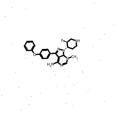 CN1C=NC(N)=C2C(c3ccc(Oc4ccccc4)cc3)=NN([C@H]3CCNC[C@@H]3F)C21